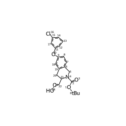 CC(C)(C)OC(=O)N1Cc2ccc(Oc3cccc(Cl)c3)cc2CC1COO